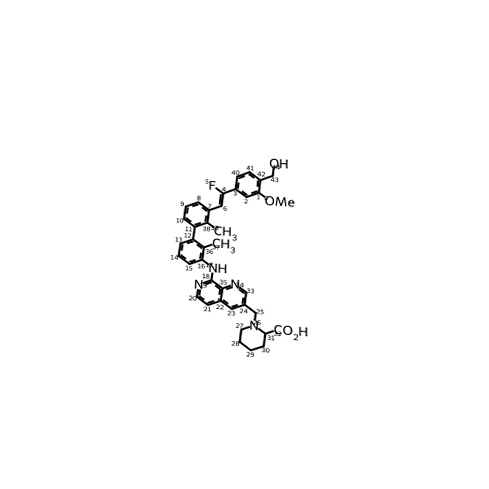 COc1cc(/C(F)=C/c2cccc(-c3cccc(Nc4nccc5cc(CN6CCCCC6C(=O)O)cnc45)c3C)c2C)ccc1CO